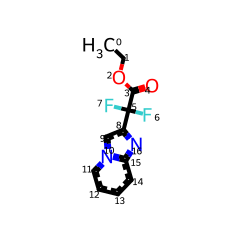 CCOC(=O)C(F)(F)c1cn2ccccc2n1